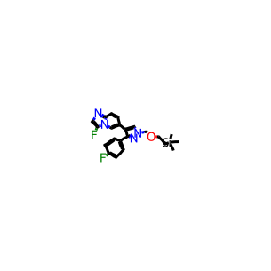 C[Si](C)(C)CCOCn1cc(-c2ccc3ncc(F)n3c2)c(-c2ccc(F)cc2)n1